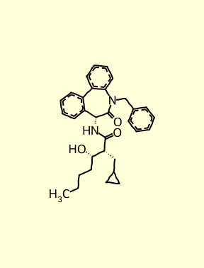 CCCC[C@H](O)[C@@H](CC1CC1)C(=O)N[C@H]1C(=O)N(Cc2ccccc2)c2ccccc2-c2ccccc21